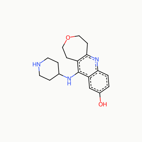 Oc1ccc2nc3c(c(NC4CCNCC4)c2c1)CCOCC3